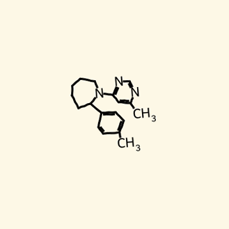 Cc1ccc(C2CCCCCN2c2cc(C)ncn2)cc1